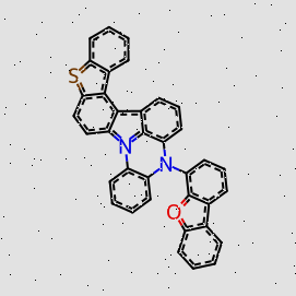 c1ccc2c(c1)N(c1cccc3c1oc1ccccc13)c1cccc3c4c5c(ccc4n-2c13)sc1ccccc15